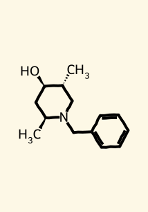 C[C@@H]1CN(Cc2ccccc2)[C@@H](C)C[C@H]1O